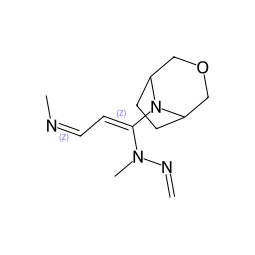 C=NN(C)/C(=C\C=N/C)N1C2CCC1COC2